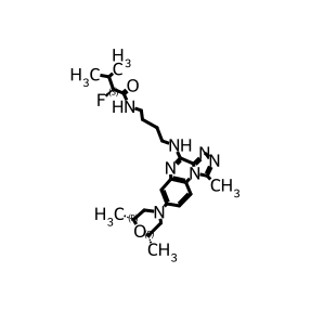 Cc1nnc2c(NCCCCNC(=O)[C@@H](F)C(C)C)nc3cc(N4C[C@@H](C)O[C@@H](C)C4)ccc3n12